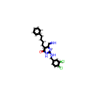 N=Cc1nc(NCc2ccc(Cl)c(Cl)c2)[nH]c(=O)c1CCCCc1ccccc1